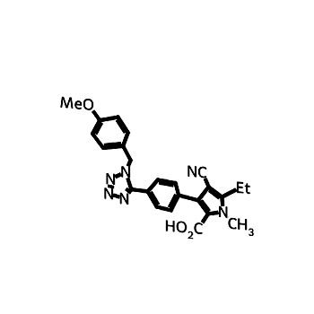 CCc1c(C#N)c(-c2ccc(-c3nnnn3Cc3ccc(OC)cc3)cc2)c(C(=O)O)n1C